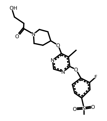 Cc1c(Oc2ccc(S(C)(=O)=O)cc2F)ncnc1OC1CCN(C(=O)CCO)CC1